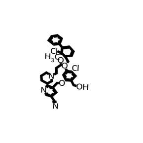 CC1(Cl)C(c2ccccc2)=CC=CC1(COc1cc(OCc2cncc(C#N)c2)c(CO)cc1Cl)OCCCN1CCCCC1